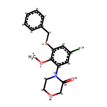 COc1c(SCc2ccccc2)cc(F)cc1N1CCOCC1=O